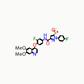 COc1cc2nccc(Oc3ccc(NC(=O)c4cc([S+](C)[O-])n(-c5ccc(F)cc5)n4)cc3F)c2cc1OC